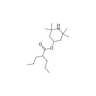 CCCC(CCC)C(=O)OC1CC(C)(C)NC(C)(C)C1